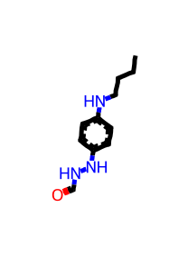 CCCCNc1ccc(NNC=O)cc1